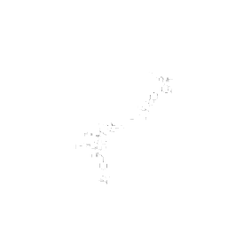 Cc1ncc(-c2ccc3nc(NC(=O)CCCCCCOc4cc(C(=O)N[C@H](C(=O)N5C[C@H](O)C[C@H]5C(=O)NCc5ccc(-c6scnc6C)cc5)C(C)(C)C)nn4C)sc3c2)cc1NC(=O)OC1CCCCC1